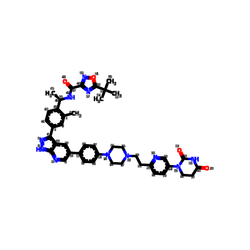 Cc1cc(-c2n[nH]c3ncc(-c4ccc(N5CCN(CCc6ccc(N7CCC(=O)NC7=O)cn6)CC5)cc4)cc23)ccc1[C@@H](C)NC(=O)c1noc(C(C)(C)C)n1